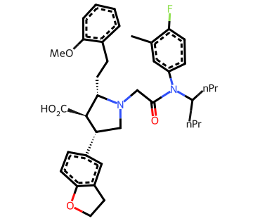 CCCC(CCC)N(C(=O)CN1C[C@H](c2ccc3c(c2)CCO3)[C@@H](C(=O)O)[C@@H]1CCc1ccccc1OC)c1ccc(F)c(C)c1